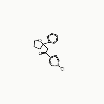 O=C(CC1(c2ccccc2)CCCO1)c1ccc(Cl)cc1